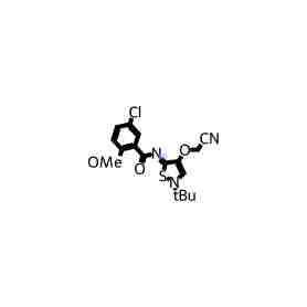 COc1ccc(Cl)cc1C(=O)/N=c1\sn(C(C)(C)C)cc1OCC#N